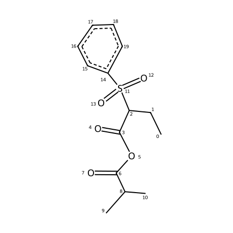 CCC(C(=O)OC(=O)C(C)C)S(=O)(=O)c1ccccc1